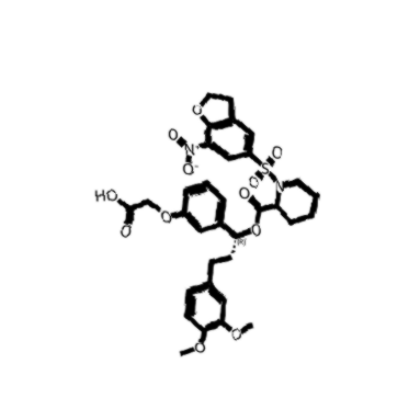 COc1ccc(CC[C@@H](OC(=O)C2CCCCN2S(=O)(=O)c2cc3c(c([N+](=O)[O-])c2)OCC3)c2cccc(OCC(=O)O)c2)cc1OC